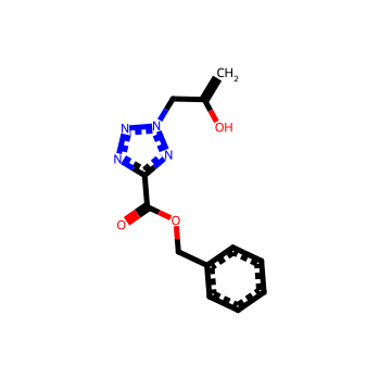 C=C(O)Cn1nnc(C(=O)OCc2ccccc2)n1